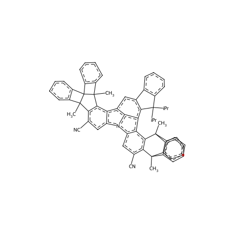 CC(C)C1(C(C)C)c2ccccc2-c2cc3c4c5c(c(C#N)cc4n4c6cc(C#N)c7c(c6c(c21)c34)C1(C)c2ccccc2C7(C)c2ccccc21)C1(C)c2ccccc2C12c1ccccc1C52C